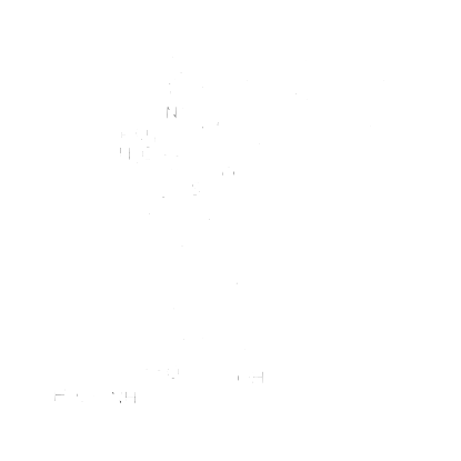 CNCOc1cc(/C=C/S(=O)(=O)C(C)C2([N+](=O)[O-])C=CC(c3ccccc3)=CC2)ccc1O